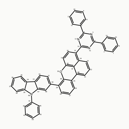 c1ccc(-c2nc(-c3ccccc3)nc(-c3ccc4c5c(cccc35)-c3cccc(-c5ccc6c7ccccc7n(-c7ccccc7)c6c5)c3O4)n2)cc1